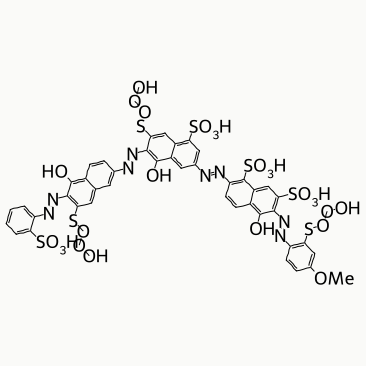 COc1ccc(N=Nc2c(S(=O)(=O)O)cc3c(S(=O)(=O)O)c(N=Nc4cc(S(=O)(=O)O)c5cc(SOOO)c(N=Nc6ccc7c(O)c(N=Nc8ccccc8S(=O)(=O)O)c(SOOO)cc7c6)c(O)c5c4)ccc3c2O)c(SOOO)c1